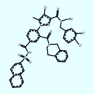 CCCCN(Cc1ccc(Cl)c(Cl)c1)C(=O)c1nn(-c2ccc(C(=O)NS(=O)(=O)c3ccc4ccccc4c3)cc2C(=O)N2CCc3ccccc3C2)c(C)c1Cl